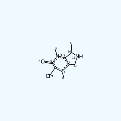 Cc1c2c(n(C)c(=O)c1Cl)C(C)NC2